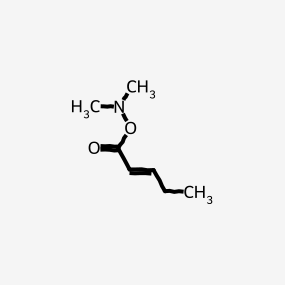 CCC=CC(=O)ON(C)C